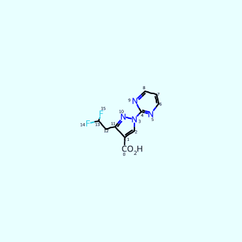 O=C(O)c1cn(-c2ncccn2)nc1CC(F)F